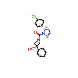 O=C(N1CC(O)(c2ccccc2)C1)N1N=CC[C@H]1c1ccc(Cl)cc1